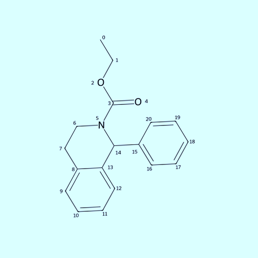 CCOC(=O)N1CCc2ccccc2C1c1ccccc1